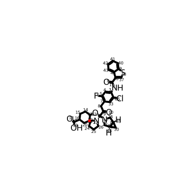 O=C(Nc1cc(F)c(CC(=O)C(OC2CCC(C(=O)O)CC2)(N2CCCC2)N2C[C@@H]3C[C@H]3C2)cc1Cl)c1csc2ccccc12